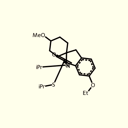 CCOc1ccc2c(c1)C1(N=C(SC(C)C)N(C(C)C)C1=O)C1(CCC(OC)CC1)C2